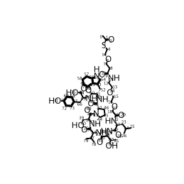 CC(=O)SCCOCCC(=O)NCCOCCOCC(=O)N[C@@H](CC(C)C)C(=O)N[C@H](C(=O)N[C@H](C(=O)N[C@@H](CO)C(=O)N1CCC[C@H]1C(=O)N[C@@H](Cc1c[nH]c2ccccc12)C(=O)N[C@@H](Cc1ccc(O)cc1)C(=O)O)C(C)C)[C@@H](C)O